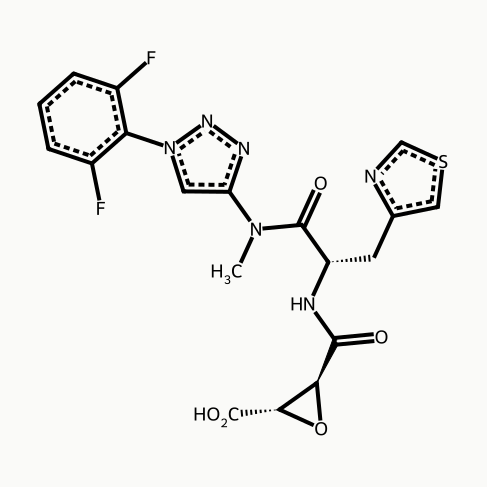 CN(C(=O)[C@H](Cc1cscn1)NC(=O)[C@H]1O[C@@H]1C(=O)O)c1cn(-c2c(F)cccc2F)nn1